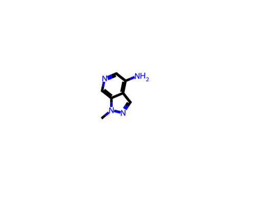 Cn1ncc2c(N)cncc21